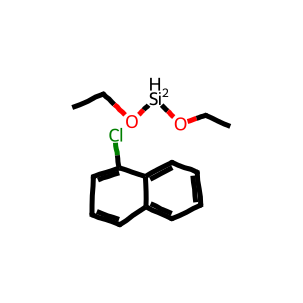 CCO[SiH2]OCC.Clc1cccc2ccccc12